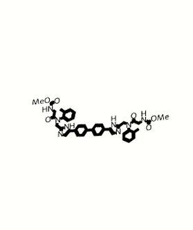 COC(=O)NCC(=O)N(Cc1ncc(-c2ccc(-c3ccc(-c4cnc(CN(C(=O)CNC(=O)OC)c5ccccc5C)[nH]4)cc3)cc2)[nH]1)c1ccccc1C